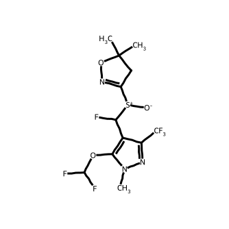 Cn1nc(C(F)(F)F)c(C(F)[S+]([O-])C2=NOC(C)(C)C2)c1OC(F)F